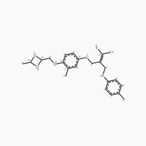 Cc1ccc(OCC(CSc2ccc(OCC3OC(C)O3)c(C)c2)=C(F)F)cc1